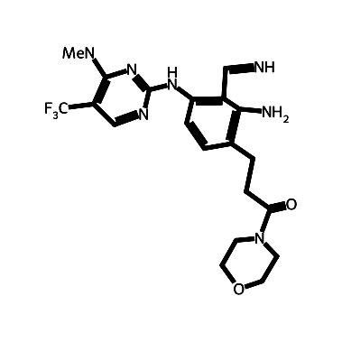 CNc1nc(Nc2ccc(CCC(=O)N3CCOCC3)c(N)c2C=N)ncc1C(F)(F)F